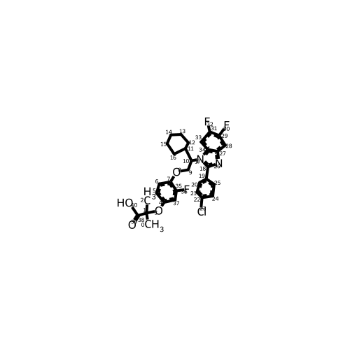 CC(C)(Oc1ccc(OCC(C2CCCCC2)n2c(-c3ccc(Cl)cc3)nc3cc(F)c(F)cc32)c(F)c1)C(=O)O